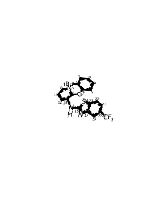 CC(C)(C)c1ccccc1Oc1ncccc1Nc1nc2cc(C(F)(F)F)ccc2s1